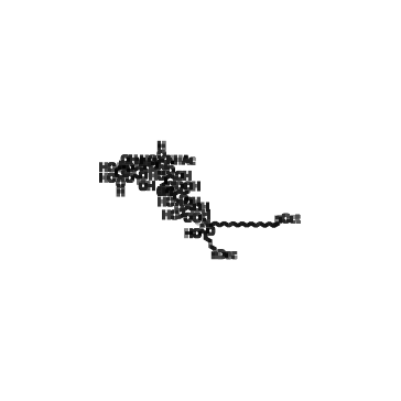 CCCCCCCC/C=C\CCCCCCCCCCCCCC(=O)N[C@@H](CO[C@@H]1OC(CO)[C@@H](O[C@@H]2OC(CO)[C@H](O[C@@H]3OC(CO)[C@H](O)[C@H](O[C@@H]4OC(CO[C@@H]5OC(CO)[C@@H](O[C@@H]6OC(CO)[C@H](O)[C@H](O)C6O)[C@H](O)C5NC(C)=O)[C@H](O)[C@H](O)C4NC(C)=O)C3O)[C@H](O)C2O)[C@H](O)C1O)[C@H](O)/C=C/CCCCCCCCCCCCC